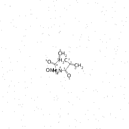 C=C(C)C(N)=O.C=CC(=O)OC